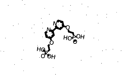 O=P(O)(O)CCOc1ccnc(-c2cc(OCCP(=O)(O)O)ccn2)c1